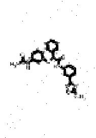 Cc1nc(-c2cccc(NC(=O)C(Oc3cccc(NC(N)=O)c3)c3ccccc3)c2)no1